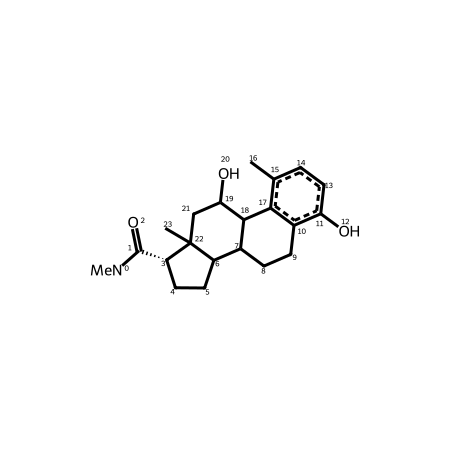 CNC(=O)[C@H]1CCC2C3CCc4c(O)ccc(C)c4C3C(O)CC21C